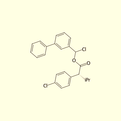 CC(C)[C@@H](C(=O)OC(Cl)c1cccc(-c2ccccc2)c1)c1ccc(Cl)cc1